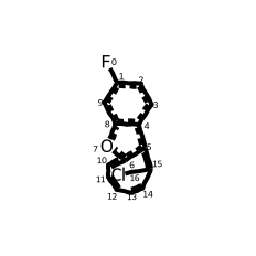 Fc1ccc2c3/c(oc2c1)=C/C=C\C=C/C=3Cl